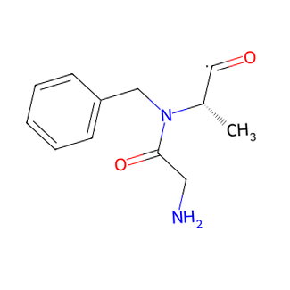 C[C@@H]([C]=O)N(Cc1ccccc1)C(=O)CN